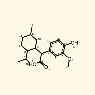 COc1cc(C(C(=O)O)C2CC(C)CCC2C(C)C)ccc1O